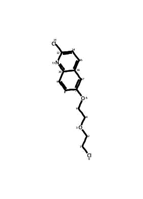 ClCCOCCOc1ccc2nc(Cl)ccc2c1